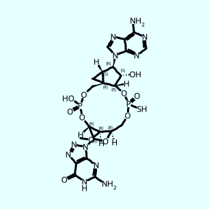 CO[C@H]1[C@H]2OP(=O)(O)OC[C@@]34C[C@@H]3[C@@H](n3cnc5c(N)ncnc53)[C@H](O)[C@@H]4OP(=O)(S)OC[C@H]1O[C@H]2n1nnc2c(=O)[nH]c(N)nc21